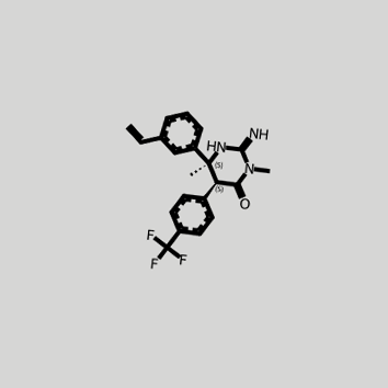 C=Cc1cccc([C@@]2(C)NC(=N)N(C)C(=O)[C@H]2c2ccc(C(F)(F)F)cc2)c1